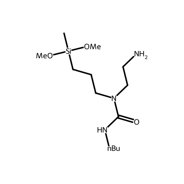 CCCCNC(=O)N(CCN)CCC[Si](C)(OC)OC